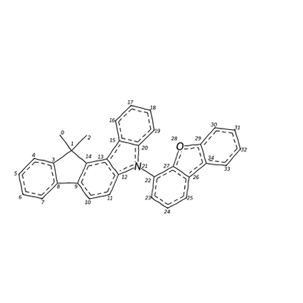 CC1(C)c2ccccc2-c2ccc3c(c21)c1ccccc1n3-c1cccc2c1oc1ccccc12